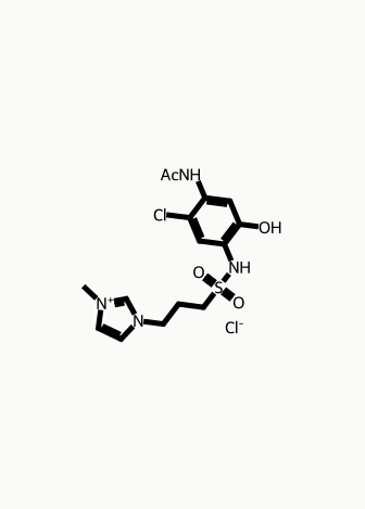 CC(=O)Nc1cc(O)c(NS(=O)(=O)CCCn2cc[n+](C)c2)cc1Cl.[Cl-]